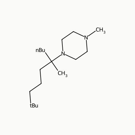 CCCCC(C)(CCCC(C)(C)C)N1CCN(C)CC1